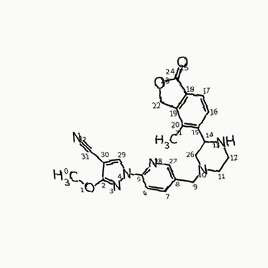 COc1nn(-c2ccc(CN3CCNC(c4ccc5c(c4C)COC5=O)C3)cn2)cc1C#N